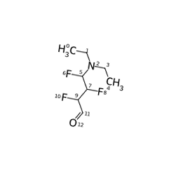 CCN(CC)C(F)C(F)C(F)C=O